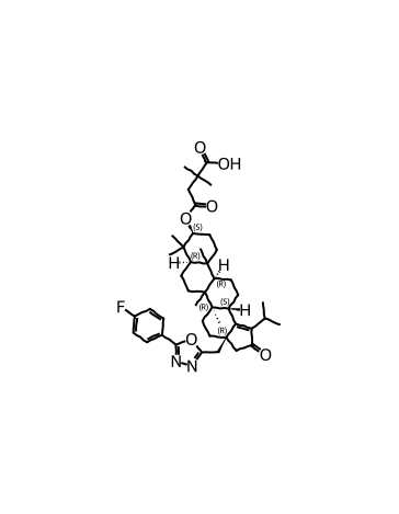 CC(C)C1=C2[C@H]3CC[C@@H]4C5(C)CC[C@H](OC(=O)CC(C)(C)C(=O)O)C(C)(C)[C@@H]5CCC4(C)[C@]3(C)CC[C@@]2(Cc2nnc(-c3ccc(F)cc3)o2)CC1=O